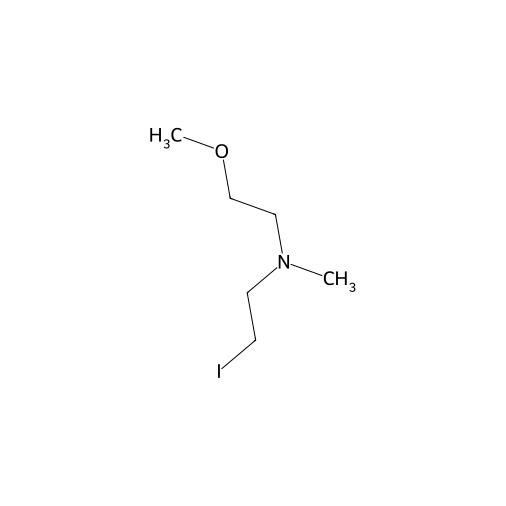 COCCN(C)CCI